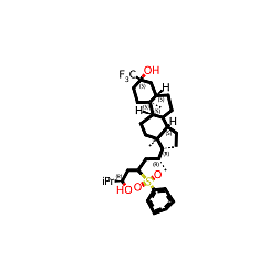 CC(C)[C@H](O)CC(C[C@@H](C)[C@H]1CC[C@H]2C3CC[C@H]4C[C@](O)(C(F)(F)F)CC[C@]4(C)[C@H]3CC[C@]12C)S(=O)(=O)c1ccccc1